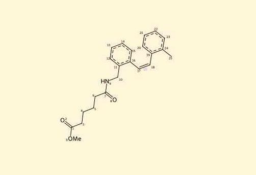 COC(=O)CCCCC(=O)NCc1ccccc1/C=C\c1ccccc1C